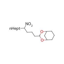 [CH2]CCCCCCC(CCC[C]1OC2CCCC(C2)O1)[N+](=O)[O-]